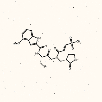 COc1cccc2[nH]c(C(=O)N[C@@H](CC(C)C)C(=O)CN(C[C@@H]3CCNC3=O)C(=O)/C=C/S(C)(=O)=O)cc12